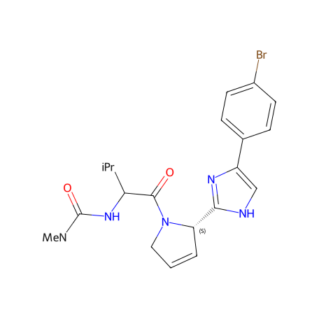 CNC(=O)NC(C(=O)N1CC=C[C@H]1c1nc(-c2ccc(Br)cc2)c[nH]1)C(C)C